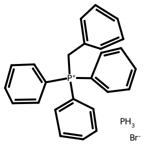 P.[Br-].c1ccc(C[P+](c2ccccc2)(c2ccccc2)c2ccccc2)cc1